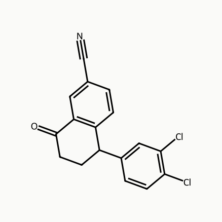 N#Cc1ccc2c(c1)C(=O)CCC2c1ccc(Cl)c(Cl)c1